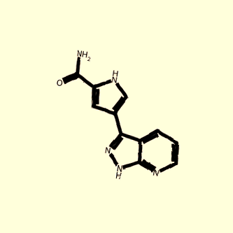 NC(=O)c1cc(-c2n[nH]c3ncccc23)c[nH]1